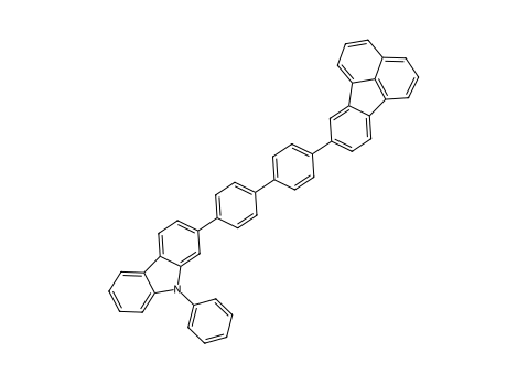 c1ccc(-n2c3ccccc3c3ccc(-c4ccc(-c5ccc(-c6ccc7c(c6)-c6cccc8cccc-7c68)cc5)cc4)cc32)cc1